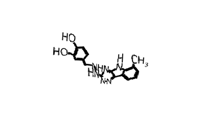 Cc1cccc2c1[nH]c1nc(NNCc3ccc(O)c(O)c3)nnc12